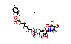 O=C(OCc1ccccc1)SCCCCCCOP(=O)(O)OC[C@H]1O[C@@H](n2cc(F)c(=O)[nH]c2=O)C[C@H]1O